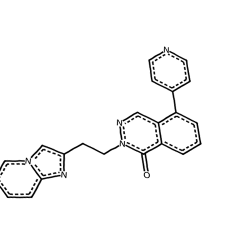 O=c1c2cccc(-c3ccncc3)c2cnn1CCc1cn2ccccc2n1